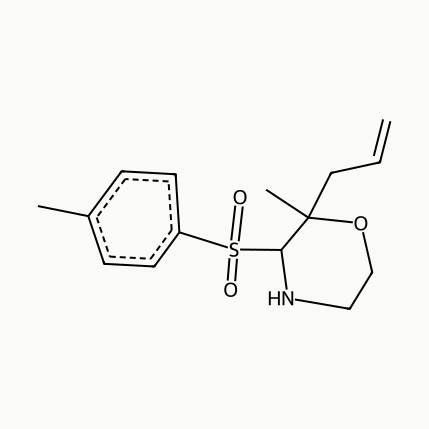 C=CCC1(C)OCCNC1S(=O)(=O)c1ccc(C)cc1